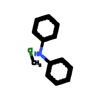 CCl.c1ccc(Nc2ccccc2)cc1